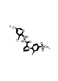 CS(=O)(=O)c1ccc(-n2cccc2C(=O)NNc2ncc(C(F)(F)F)cc2Cl)c(F)c1